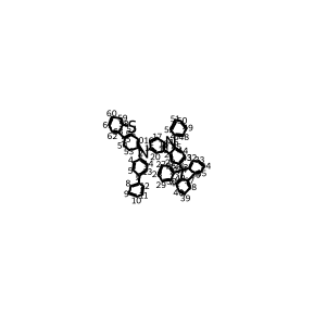 C1=C(N(c2ccc(-c3ccccc3)cc2)c2ccc3c(c2)c2cc(C4(c5ccccc5)c5ccccc5-c5ccccc54)ccc2n3-c2ccccc2)CCc2c1sc1ccccc21